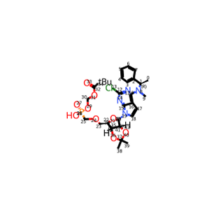 C[C@H](c1ccccc1)N(C)c1nc(Cl)nc2c1ccn2[C@@H]1O[C@H](COCP(=O)(O)OCOC(=O)C(C)(C)C)[C@H]2OC(C)(C)O[C@H]21